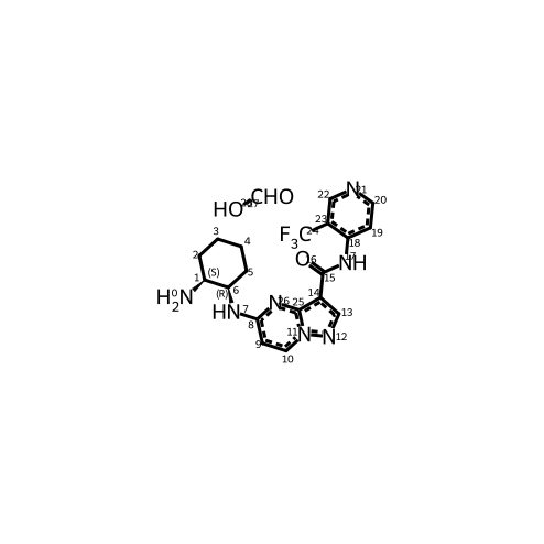 N[C@H]1CCCC[C@H]1Nc1ccn2ncc(C(=O)Nc3ccncc3C(F)(F)F)c2n1.O=CO